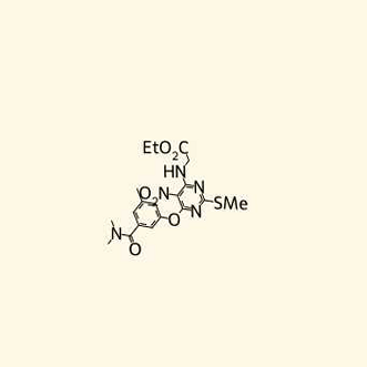 CCOC(=O)CNc1nc(SC)nc(Oc2cc(C)cc(C(=O)N(C)C)c2)c1[N+](=O)[O-]